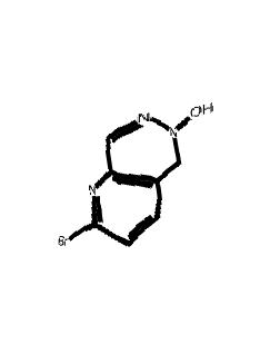 ON1Cc2ccc(Br)nc2C=N1